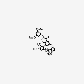 COc1cc(CN2CCc3c(cc(Cn4ccn(C)c4=N)cc3-c3c(C)nn(C)c3C)C2=O)cc(OC)c1